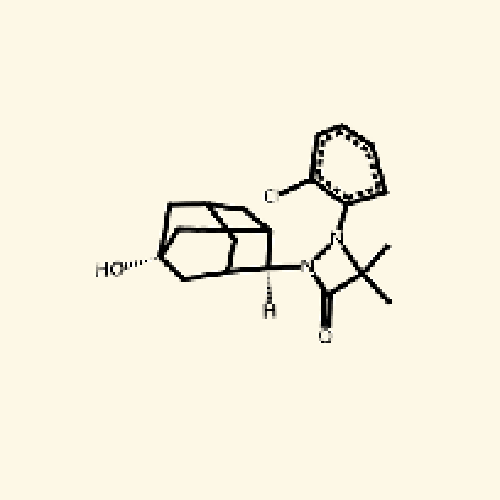 CC1(C)C(=O)N([C@H]2C3CC4CC2C[C@](O)(C4)C3)N1c1ccccc1Cl